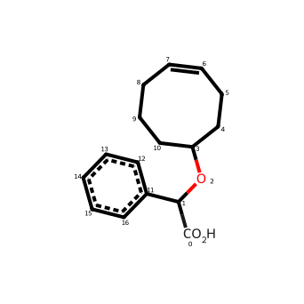 O=C(O)C(OC1CC/C=C\CCC1)c1ccccc1